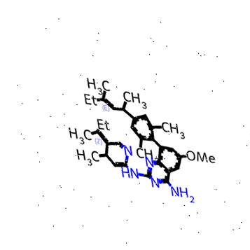 CC/C(C)=C1\C=NC(Nc2nc(N)c3cc(OC)cc(-c4c(C)cc(C(C)/C=C(\C)CC)cc4C)c3n2)=CC1C